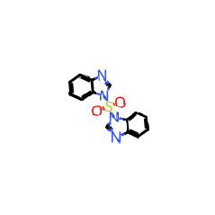 O=S(=O)(n1cnc2ccccc21)n1cnc2ccccc21